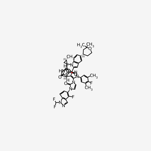 Cc1cc(-n2nc3c(c2-n2ccn(-c4ccc5c(cnn5C(F)F)c4F)c2=O)[C@@H]2CC[C@H](C3)N2C(=O)c2cc3cc([C@H]4CCOC(C)(C)C4)ccc3n2[C@@]2(c3noc(=O)[nH]3)C[C@@H]2C)cc(C)c1F